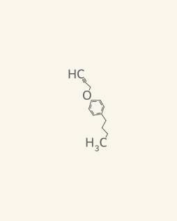 C#CCOc1ccc(CCCC)cc1